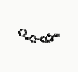 O=C(O)Oc1cc(-c2ccc(Oc3ccccc3)cc2)c[nH]1